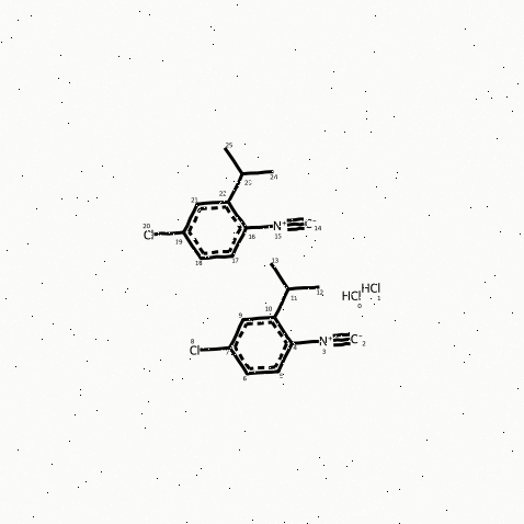 Cl.Cl.[C-]#[N+]c1ccc(Cl)cc1C(C)C.[C-]#[N+]c1ccc(Cl)cc1C(C)C